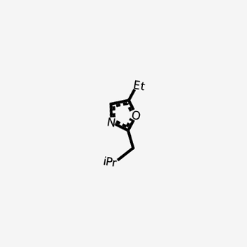 CCc1cnc(CC(C)C)o1